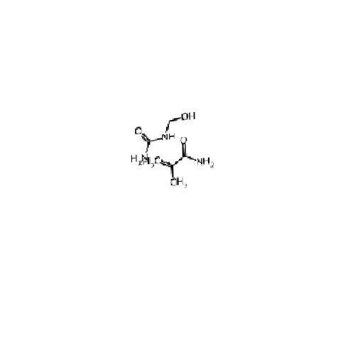 C=C(C)C(N)=O.NC(=O)NCO